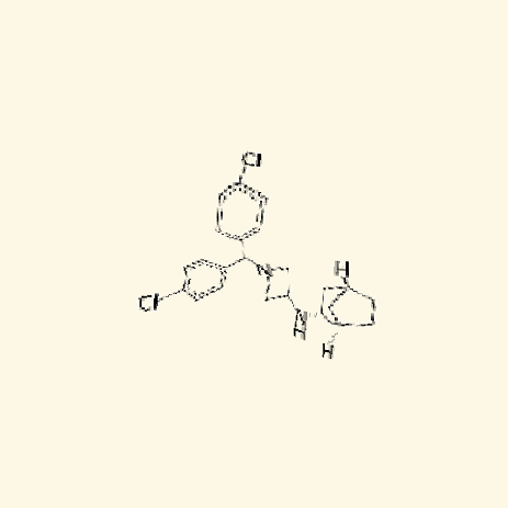 Clc1ccc(C(c2ccc(Cl)cc2)N2CC(N[C@@H]3C[C@@H]4CC[C@@H]3C4)C2)cc1